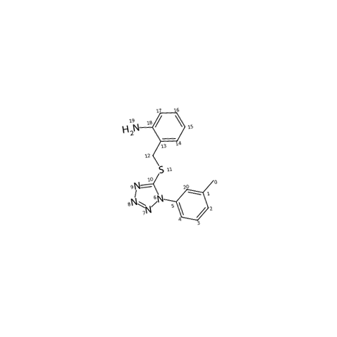 Cc1cccc(-n2nnnc2SCc2ccccc2N)c1